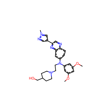 COc1cc(OC)cc(N(CCN2CCC(CO)CC2)c2ccc3ncc(-c4cnn(C)c4)nc3c2)c1